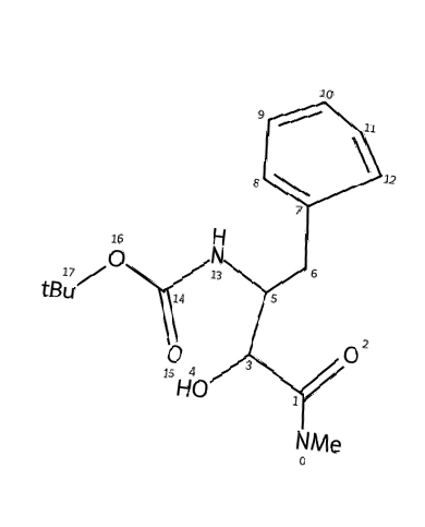 CNC(=O)C(O)C(Cc1ccccc1)NC(=O)OC(C)(C)C